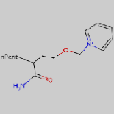 CCCCCC(CCOC[n+]1ccccc1)C(N)=O